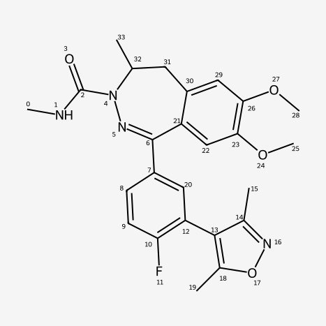 CNC(=O)N1N=C(c2ccc(F)c(-c3c(C)noc3C)c2)c2cc(OC)c(OC)cc2CC1C